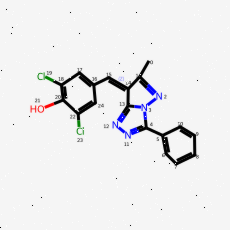 Cc1nn2c(-c3ccccc3)nnc2/c1=C\c1cc(Cl)c(O)c(Cl)c1